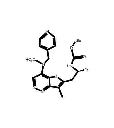 CC[C@@H](Cc1sc2c(N(Cc3ccncc3)C(=O)O)cnnc2c1C)NC(=O)OC(C)(C)C